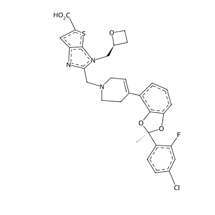 C[C@@]1(c2ccc(Cl)cc2F)Oc2cccc(C3=CCN(Cc4nc5cc(C(=O)O)sc5n4C[C@@H]4CCO4)CC3)c2O1